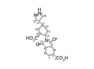 O=C(O)c1ccc2c(c1)C(=O)N(c1ccc(-c3cn[nH]c3)cc1C(=O)O)C2=O